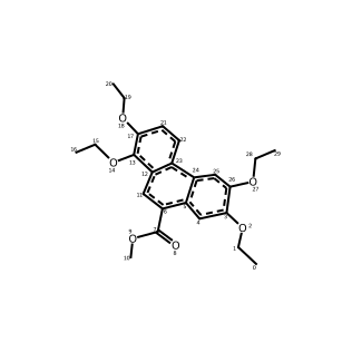 CCOc1cc2c(C(=O)OC)cc3c(OCC)c(OCC)ccc3c2cc1OCC